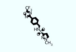 Cn1ccc(S(=O)(=O)NCc2ccc(-c3noc(C(F)(F)F)n3)cc2)n1